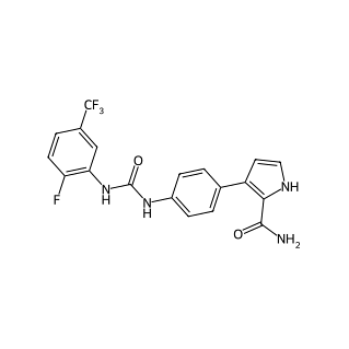 NC(=O)c1[nH]ccc1-c1ccc(NC(=O)Nc2cc(C(F)(F)F)ccc2F)cc1